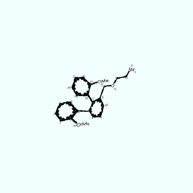 COc1ccccc1-c1cccc(COCCN)c1-c1ccccc1OC